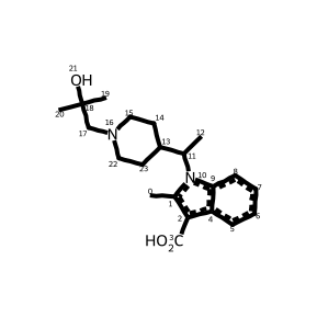 Cc1c(C(=O)O)c2ccccc2n1C(C)C1CCN(CC(C)(C)O)CC1